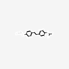 CCCCCCCCCOc1ccc(C=Cc2ccc(OC(F)F)cc2)cc1